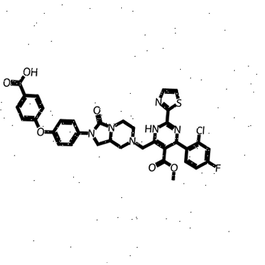 COC(=O)C1=C(CN2CCN3C(=O)N(c4ccc(Oc5ccc(C(=O)O)cc5)cc4)CC3C2)NC(c2nccs2)=NC1c1ccc(F)cc1Cl